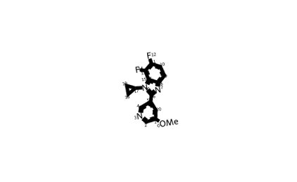 COc1cncc(-c2nc3ccc(F)c(F)c3n2C2CC2)c1